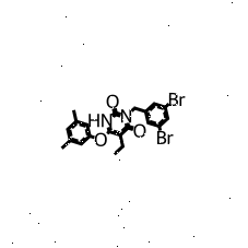 CCc1c(Oc2cc(C)cc(C)c2)[nH]c(=O)n(Cc2cc(Br)cc(Br)c2)c1=O